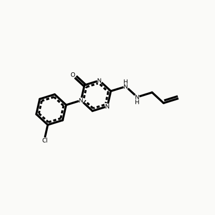 C=CCNNc1ncn(-c2cccc(Cl)c2)c(=O)n1